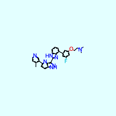 Cc1ccncc1-c1ccc2[nH]nc(-c3nc4c(-c5cc(F)cc(OCCN(C)C)c5)cccc4[nH]3)c2n1